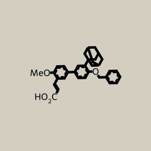 COc1ccc(-c2ccc(OCc3ccccc3)c(C34CC5CC(CC(C5)C3)C4)c2)cc1C=CC(=O)O